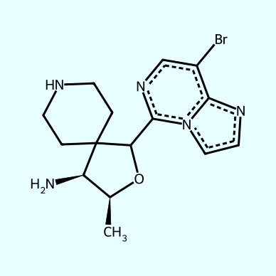 C[C@@H]1OC(c2ncc(Br)c3nccn23)C2(CCNCC2)[C@@H]1N